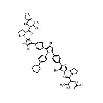 COC(=O)N[C@H](C(=O)N1CCC[C@H]1c1nc(-c2ccc(-c3c(Br)cc(-c4ccc(-c5nc([C@@H]6CCCN6C(=O)[C@@H](NC(=O)O)C(C)C)[nH]c5Br)cc4)n3-c3ccc(C4CCCCC4)cc3)cc2)c(Br)[nH]1)C(C)C